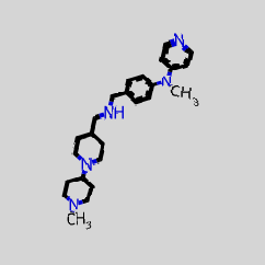 CN1CCC(N2CCC(CNCc3ccc(N(C)c4ccncc4)cc3)CC2)CC1